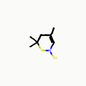 CC1=CN(S)SC(C)(C)C1